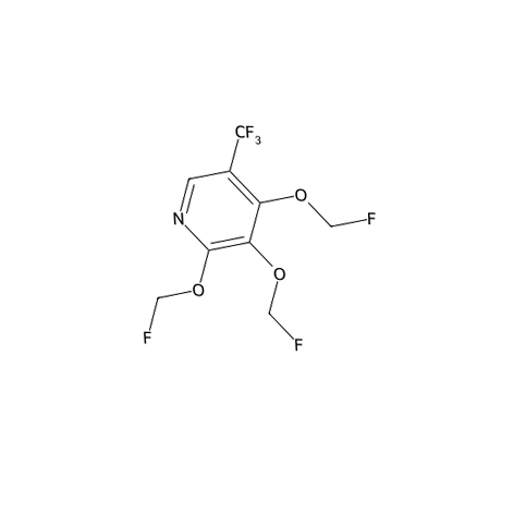 FCOc1ncc(C(F)(F)F)c(OCF)c1OCF